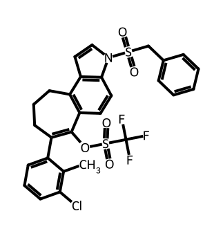 Cc1c(Cl)cccc1C1=C(OS(=O)(=O)C(F)(F)F)c2ccc3c(ccn3S(=O)(=O)Cc3ccccc3)c2CCC1